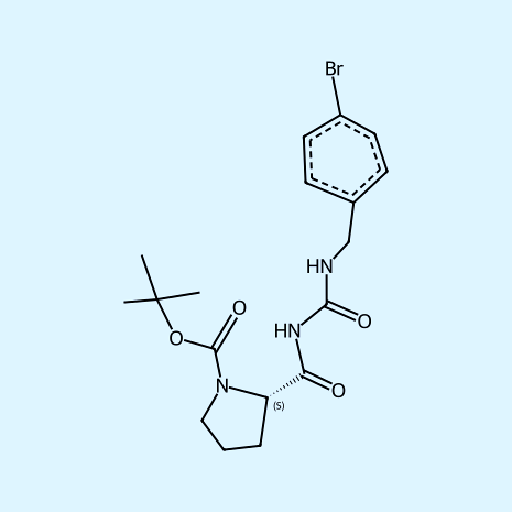 CC(C)(C)OC(=O)N1CCC[C@H]1C(=O)NC(=O)NCc1ccc(Br)cc1